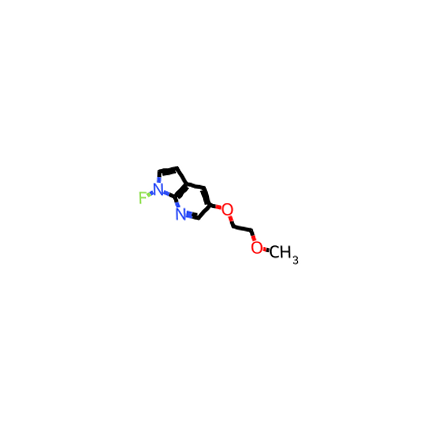 COCCOc1cnc2c(ccn2F)c1